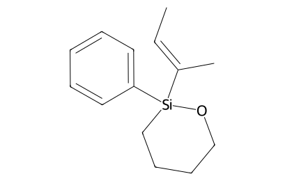 CC=C(C)[Si]1(c2ccccc2)CCCCO1